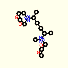 c1ccc(-c2cc(-c3ccc(-c4ccc(-c5cc(-c6ccccc6)cc(-c6nc(-c7ccccc7)nc(-c7cccc8oc9cc%10oc%11ccccc%11c%10cc9c78)n6)c5)cc4)cc3)cc(-c3nc(-c4ccccc4)nc(-c4cccc5c4oc4cc6oc7ccccc7c6cc45)n3)c2)cc1